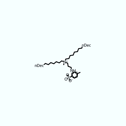 CCCCCCCCCCCCCCCCCC[N+](C)(CCCN)CCCCCCCCCCCCCCCCC.Cc1ccc(S(=O)(=O)[O-])cc1